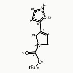 CC(C)(C)OC(=O)N1CC=C(c2ccns2)C1